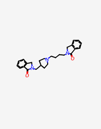 O=C1c2ccccc2CN1CCCCN1CCC(CN2Cc3ccccc3C2=O)CC1